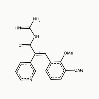 COc1cccc(/C=C(/C(=O)NC(=N)N)c2cccnc2)c1OC